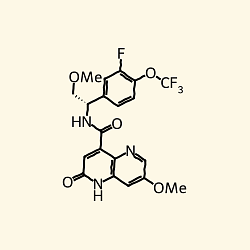 COC[C@@H](NC(=O)c1cc(=O)[nH]c2cc(OC)cnc12)c1ccc(OC(F)(F)F)c(F)c1